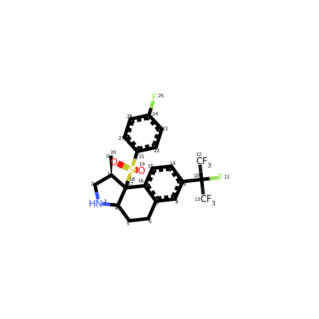 C[C@@H]1CNC2CCc3cc(C(F)(C(F)(F)F)C(F)(F)F)ccc3C21S(=O)(=O)c1ccc(F)cc1